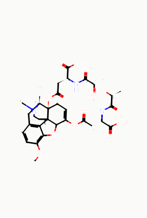 COc1ccc2c3c1OC1C(OC(=O)C[C@H](NC(=O)[C@H](C)O)C(=O)O)=CC[C@@]4(OC(=O)C[C@H](NC(=O)[C@H](C)O)C(=O)O)[C@@H](C2)N(C)CCC314